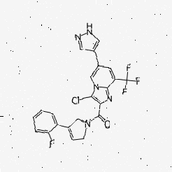 O=C(c1nc2c(C(F)(F)F)cc(-c3cn[nH]c3)cn2c1Cl)N1CC=C(c2ccccc2F)C1